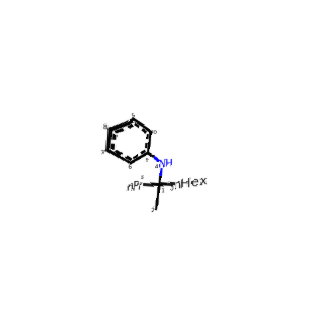 CCCCCCC(C)(CCC)Nc1ccccc1